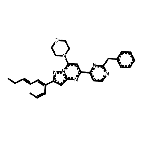 C\C=C/C(=C\C=C\CC)c1cc2nc(-c3ccnc(Cc4ccccc4)n3)cc(N3CCOCC3)n2n1